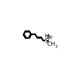 C[SiH](Br)CC=CCc1ccccc1